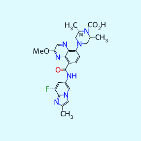 COc1cnc2c(N3CC(C)N(C(=O)O)[C@@H](C)C3)ccc(C(=O)Nc3cc(F)c4nc(C)cn4c3)c2n1